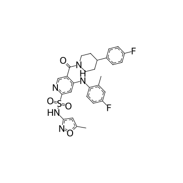 Cc1cc(NS(=O)(=O)c2cc(Nc3ccc(F)cc3C)c(C(=O)N3CCC(c4ccc(F)cc4)CC3)cn2)no1